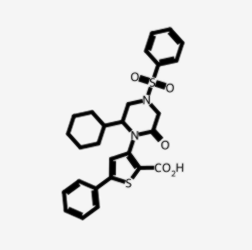 O=C(O)c1sc(-c2ccccc2)cc1N1C(=O)CN(S(=O)(=O)c2ccccc2)CC1C1CCCCC1